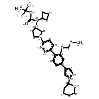 COCOc1cc(-c2cnn(C3CCCCO3)c2)ccc1-c1ccc(N2CC[C@@H](N(C(=O)OC(C)(C)C)C3CCC3)C2)nn1